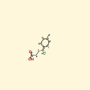 Cc1ccc(C(Cl)CCC(=O)O)cc1